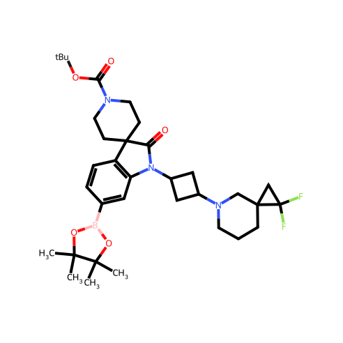 CC(C)(C)OC(=O)N1CCC2(CC1)C(=O)N(C1CC(N3CCCC4(C3)CC4(F)F)C1)c1cc(B3OC(C)(C)C(C)(C)O3)ccc12